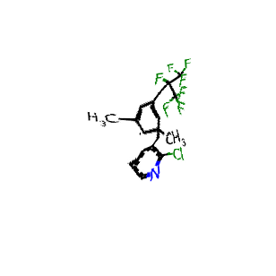 CC1=CC(C(F)(C(F)(F)F)C(F)(F)F)=CC(C)(c2cccnc2Cl)[CH]1